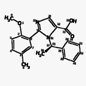 COc1ccc(C)cc1-c1ncc(C(=O)O)n1[C@H](C)c1ccccc1